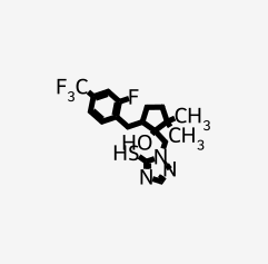 CC1(C)CCC(Cc2ccc(C(F)(F)F)cc2F)C1(O)Cn1ncnc1S